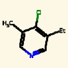 CCc1cncc(C)c1Cl